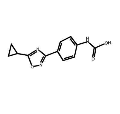 O=C(O)Nc1ccc(-c2noc(C3CC3)n2)cc1